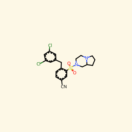 N#Cc1ccc(Cc2cc(Cl)cc(Cl)c2)c(S(=O)(=O)N2CCN3CCCC3C2)c1